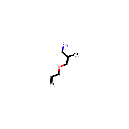 C=CCOCC(C)CN